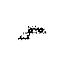 CC(C)=CCC/C(C)=C/Cc1c(O)cc(O)c(C(=O)C=Cc2ccc(O)cc2)c1O